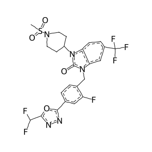 CS(=O)(=O)N1CCC(n2c(=O)n(Cc3ccc(-c4nnc(C(F)F)o4)cc3F)c3cc(C(F)(F)F)ccc32)CC1